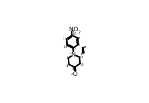 C=C.O=C1CCN(c2ccc([N+](=O)[O-])cc2)CC1